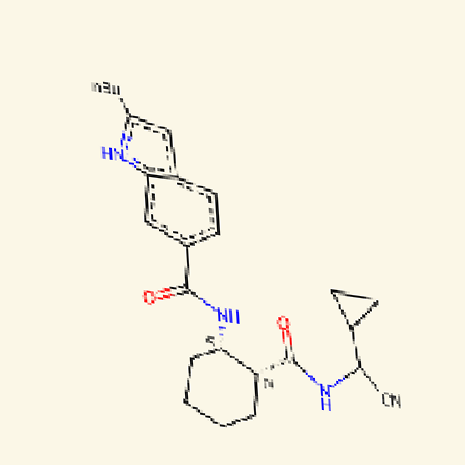 CCCCc1cc2ccc(C(=O)N[C@H]3CCCC[C@H]3C(=O)NC(C#N)C3CC3)cc2[nH]1